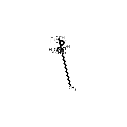 CCCCCCCCCCCCCCCCCCOC(=O)C(CC(C)(C)C)c1cc(C(C)(C)C)ccc1O